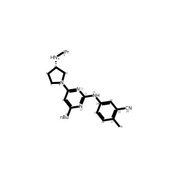 CCCCc1cc(N2CC[C@H](NC(C)C)C2)nc(Nc2ccc(C)c(C#N)c2)n1